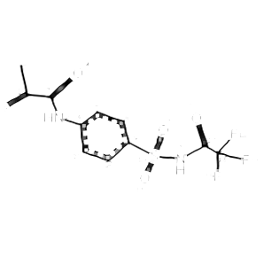 C=C(C)C(=O)Nc1ccc(S(=O)(=O)NC(=O)C(F)(F)F)cc1